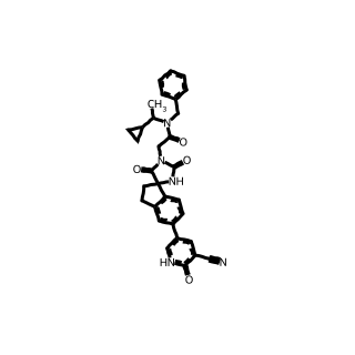 CC(C1CC1)N(Cc1ccccc1)C(=O)CN1C(=O)NC2(CCc3cc(-c4c[nH]c(=O)c(C#N)c4)ccc32)C1=O